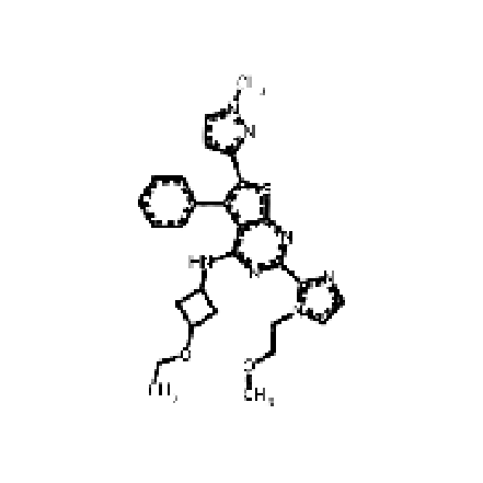 CCOC1CC(Nc2nc(-c3nccn3CCOC)nc3sc(-c4ccn(C)n4)c(-c4ccccc4)c23)C1